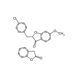 COc1ccc2c(c1)OC(Cc1ccc(Cl)cc1)C2=O.O=C1Cc2ccccc2O1